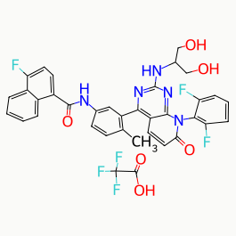 Cc1ccc(NC(=O)c2ccc(F)c3ccccc23)cc1-c1nc(NC(CO)CO)nc2c1ccc(=O)n2-c1c(F)cccc1F.O=C(O)C(F)(F)F